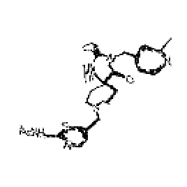 CC(=O)Nc1ncc(CN2CCC3(CC2)NC(=O)N(Cc2ccnc(C)c2)C3=O)s1